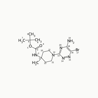 CC1(NC(=O)OC(C)(C)C)CCN(c2nnc(Br)c(N)n2)CC1